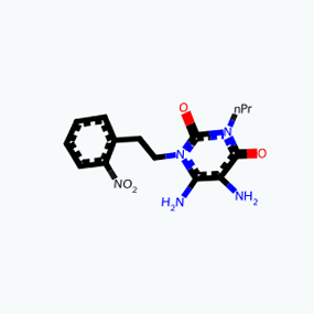 CCCn1c(=O)c(N)c(N)n(CCc2ccccc2[N+](=O)[O-])c1=O